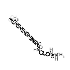 CNCC(=O)NC1CCC(CC2CCC(NC(=O)CC(=O)N3CCN(N4CCN(N5CCN(N6CCN(N7CCN(N8CCN(C(C)=O)CC8)CC7)CC6)CC5)CC4)CC3)CC2)CC1